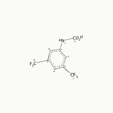 O=C(O)Nc1cc(C(F)(F)F)cc(C(F)(F)F)c1